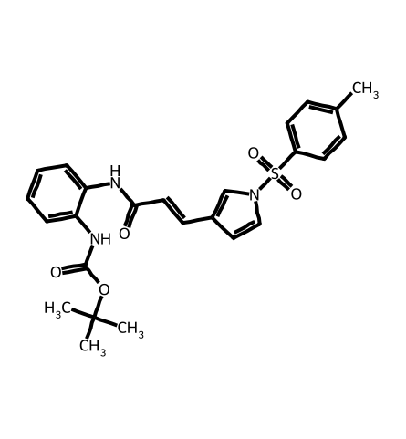 Cc1ccc(S(=O)(=O)n2ccc(C=CC(=O)Nc3ccccc3NC(=O)OC(C)(C)C)c2)cc1